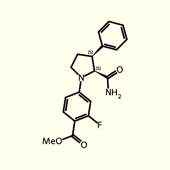 COC(=O)c1ccc(N2CC[C@@H](c3ccccc3)[C@H]2C(N)=O)cc1F